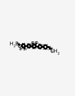 BCOc1ccc(-c2ccc(-c3ccc(C4CCC(C5CCC(CCC=C)CC5)CC4)c(F)c3F)cc2)c(F)c1F